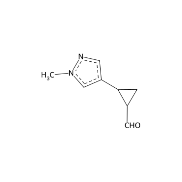 Cn1cc(C2CC2C=O)cn1